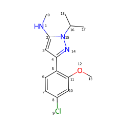 CNc1cc(-c2ccc(Cl)cc2OC)nn1C(C)C